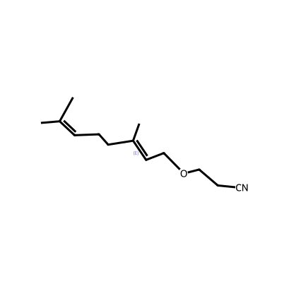 CC(C)=CCC/C(C)=C/COCCC#N